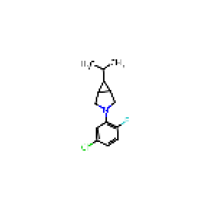 CC(C)C1C2CN(c3cc(Cl)ccc3F)CC21